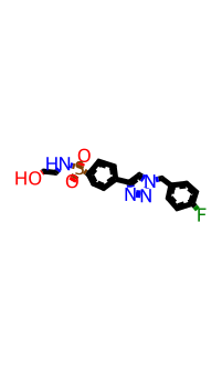 O=S(=O)(NCCO)c1ccc(-c2cn(Cc3ccc(F)cc3)nn2)cc1